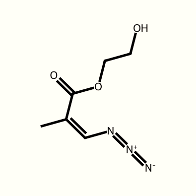 CC(=CN=[N+]=[N-])C(=O)OCCO